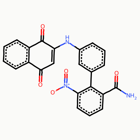 NC(=O)c1cccc([N+](=O)[O-])c1-c1cccc(NC2=CC(=O)c3ccccc3C2=O)c1